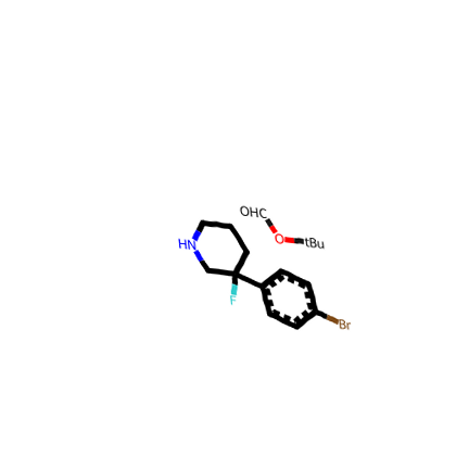 CC(C)(C)OC=O.FC1(c2ccc(Br)cc2)CCCNC1